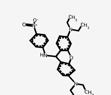 CCN(CC)c1ccc2c(c1)Oc1cc(N(CC)CC)ccc1[C]2Nc1ccc([N+](=O)[O-])cc1